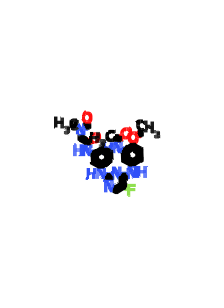 CCOc1ccc(Nc2nc(Nc3cccc(NC(=O)CN(C)C=O)c3)ncc2F)cc1NC(C)=O